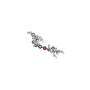 COC(=O)NC(C)C(=O)N1CCC[C@H]1c1ncc(C23CCC(c4ccc(-c5cnc([C@@H]6CCCN6C(=O)[C@H](NC(=O)N6CCC(O)CC6)C(C)C)[nH]5)cc4)(CC2)CC3)[nH]1